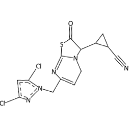 N#CC1CC1C1C(=O)SC2=NC(Cn3nc(Cl)cc3Cl)=CCN21